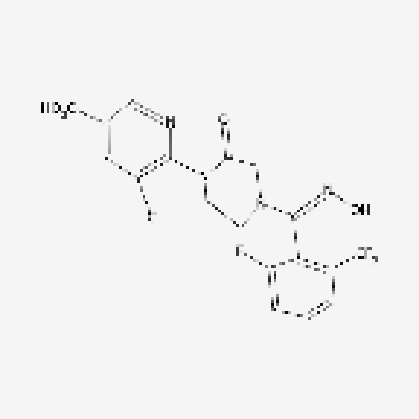 O=C(O)c1cnc(N2CCN(C(=NO)c3c(F)cccc3C(F)(F)F)CC2=O)c(Cl)c1